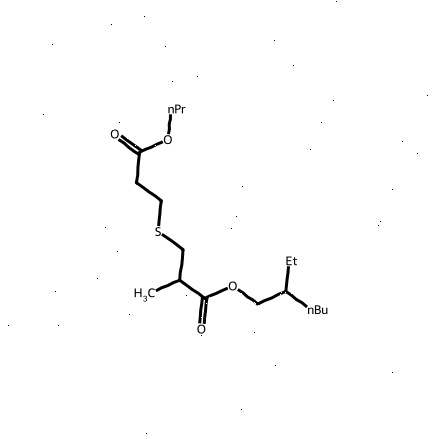 CCCCC(CC)COC(=O)C(C)CSCCC(=O)OCCC